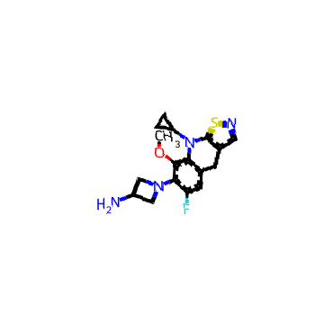 COc1c(N2CC(N)C2)c(F)cc2c1N(C1CC1)c1sncc1C2